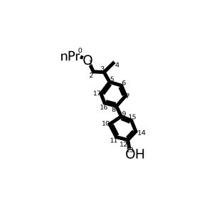 CCCOCC(C)c1ccc(-c2ccc(O)cc2)cc1